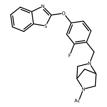 CC(=O)N1CC2CC1CN2Cc1ccc(Oc2nc3ccccc3s2)cc1F